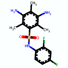 Cc1c(N)c(C)c(S(=O)(=O)Nc2ccc(F)cc2F)c(C)c1N